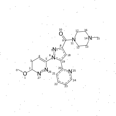 COC1CC=C(n2nc(C(=O)N3CCN(C)CC3)cc2-c2ccccn2)N=N1